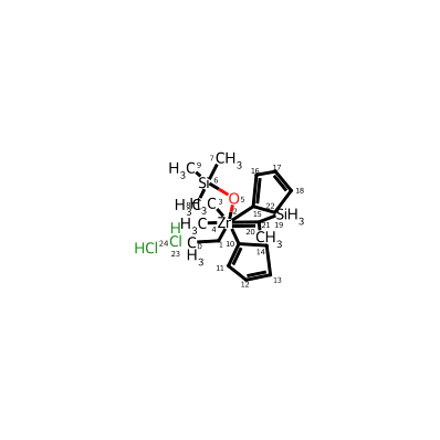 C[CH2][Zr]([CH3])([CH3])([O][Si](C)(C)C)([C]1=CC=CC1)([C]1=CC=CC1)=[C](C)[SiH3].Cl.Cl